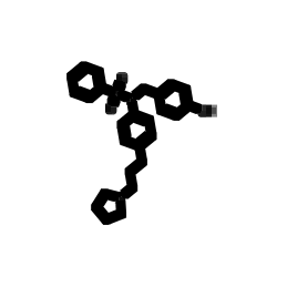 O=S(=O)(c1ccccc1)N(Cc1ccc(O)cc1)c1ccc(CCCN2CCCC2)cc1